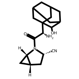 N#C[C@@H]1C[C@@H]2C[C@@H]2N1C(=O)[C@@H](N)C12CC3CC(CC(C3)C1O)C2